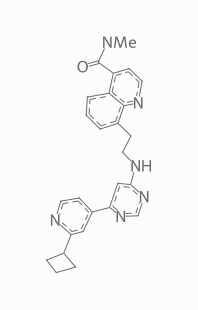 CNC(=O)c1ccnc2c(CCNc3cc(-c4ccnc(C5CCC5)c4)ncn3)cccc12